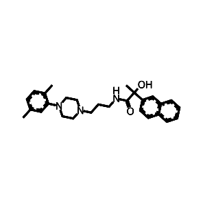 Cc1ccc(C)c(N2CCN(CCCNC(=O)C(C)(O)c3ccc4ccccc4c3)CC2)c1